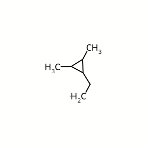 [CH2]CC1C(C)C1C